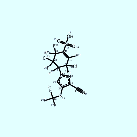 N#Cc1nn(C2(F)C(Cl)(Br)C(F)=C(S(=O)(=O)O)C(F)(F)C2(F)Cl)cc1SC(F)(F)F